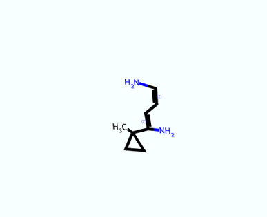 CC1(/C(N)=C/C=C\N)CC1